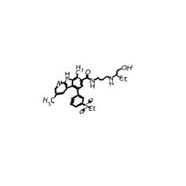 CCC(CO)NCCCNC(=O)c1cc(-c2cccc(S(=O)(=O)CC)c2)c2c([nH]c3ncc(C)cc32)c1C